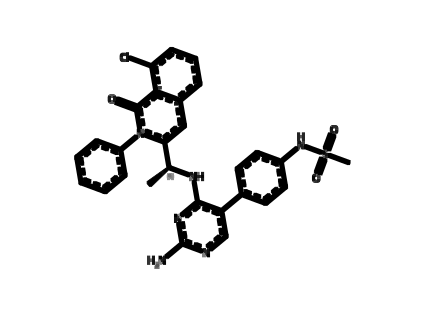 C[C@H](Nc1nc(N)ncc1-c1ccc(NS(C)(=O)=O)cc1)c1cc2cccc(Cl)c2c(=O)n1-c1ccccc1